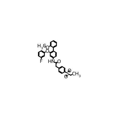 CCS(=O)(=O)c1ccc(CC(=O)Nc2ccc(-c3ccccc3OC)c(Oc3cccc(F)c3)c2)cc1